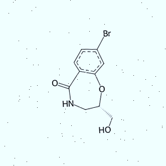 O=C1NC[C@@H](CO)Oc2cc(Br)ccc21